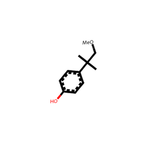 COCC(C)(C)c1ccc(O)cc1